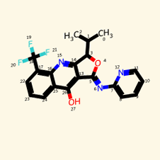 CC(C)C1OC(=Nc2ccccn2)c2c1nc1c(C(F)(F)F)cccc1c2O